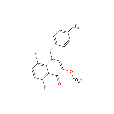 O=C(O)Oc1cn(Cc2ccc(C(F)(F)F)cc2)c2c(F)ccc(F)c2c1=O